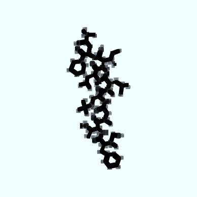 CC[C@H](C)[C@@H](C(=O)NC(CC(=O)N(C)C)C(=O)N1CCCCC1)N(C)C(=O)[C@H](CC(C)C)N(C)C(=O)[C@H](CC(C)C)N(C)C(=O)[C@H](COC(C)(C)C)NC(=O)CN(C)C(=O)[C@@H](NC(=O)[C@H](Cc1ccccc1)N(C)C=O)[C@@H](C)O